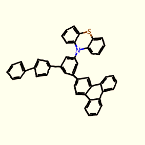 c1ccc(-c2ccc(-c3cc(-c4ccc5c6ccccc6c6ccccc6c5c4)cc(N4c5ccccc5Sc5ccccc54)c3)cc2)cc1